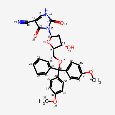 COc1ccc(C(OC[C@H]2O[C@@H](n3c(=O)[nH]cc(C#N)c3=O)C[C@@H]2O)(c2ccccc2)c2ccc(OC)cc2)cc1